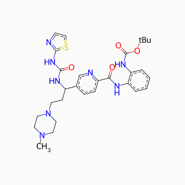 CN1CCN(CCC(NC(=O)Nc2nccs2)c2ccc(C(=O)Nc3ccccc3NC(=O)OC(C)(C)C)nc2)CC1